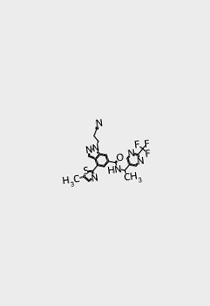 Cc1cnc(-c2cc(C(=O)NC(C)c3cnc(C(F)(F)F)nc3)cc3c2cnn3CCC#N)s1